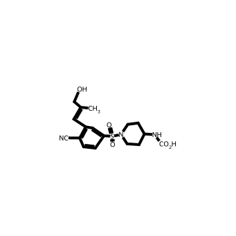 C/C(=C\c1cc(S(=O)(=O)N2CCC(NC(=O)O)CC2)ccc1C#N)CO